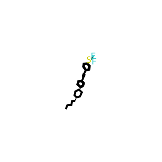 CCCCC[C@H]1CC[C@H](c2ccc(C#Cc3ccc(SC(F)F)cc3)cc2)CC1